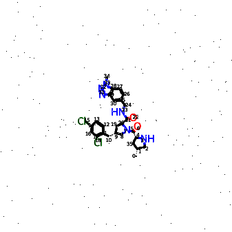 C[C@H]1CN[C@@H](C(=O)N2C[C@H](Cc3ccc(Cl)cc3Cl)C[C@H]2C(=O)NCc2ccc3c(c2)nnn3C)C1